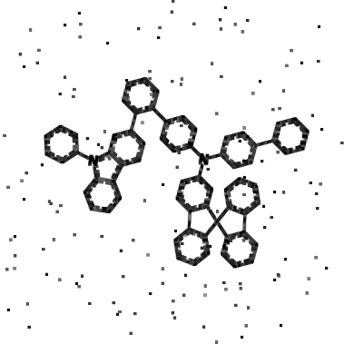 c1ccc(-c2ccc(N(c3ccc(-c4ccccc4-c4ccc5c6ccccc6n(-c6ccccc6)c5c4)cc3)c3ccc4c(c3)C3(c5ccccc5-c5ccccc53)c3ccccc3-4)cc2)cc1